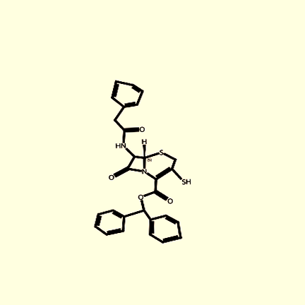 O=C(Cc1ccccc1)NC1C(=O)N2C(C(=O)OC(c3ccccc3)c3ccccc3)=C(S)CS[C@@H]12